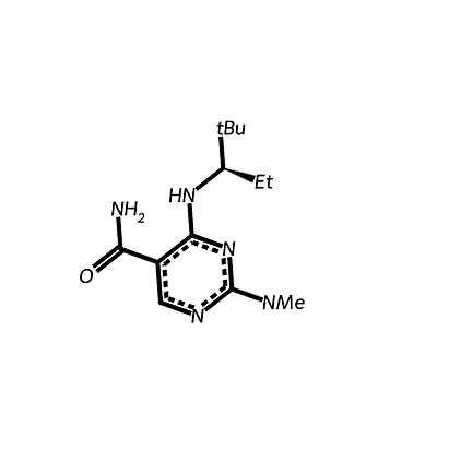 CC[C@@H](Nc1nc(NC)ncc1C(N)=O)C(C)(C)C